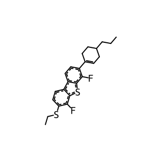 CCCC1CC=C(c2ccc3c(sc4c(F)c(SCC)ccc43)c2F)CC1